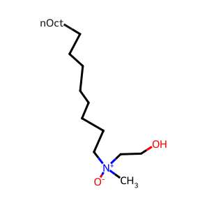 CCCCCCCCCCCCCCCC[N+](C)([O-])CCO